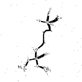 COP(=O)(OC)OCCCS(F)(F)F